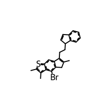 CC1=C(CCC2C=Cc3ccccc32)c2cc3sc(C)c(C)c3c(Br)c2C1